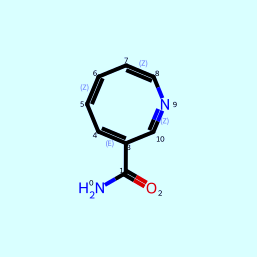 NC(=O)C1=C/C=C\C=C/N=C\1